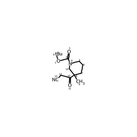 CC(C)(C)OC(=O)N1CCCC(C)(C(=O)CC#N)C1